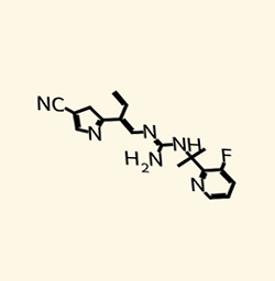 C=C/C(=C\N=C(/N)NC(C)(C)c1ncccc1F)C1=NC=C(C#N)C1